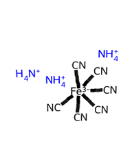 N#[C][Fe-3]([C]#N)([C]#N)([C]#N)([C]#N)[C]#N.[NH4+].[NH4+].[NH4+]